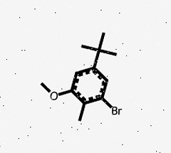 COc1cc(C(C)(C)C)cc(Br)c1C